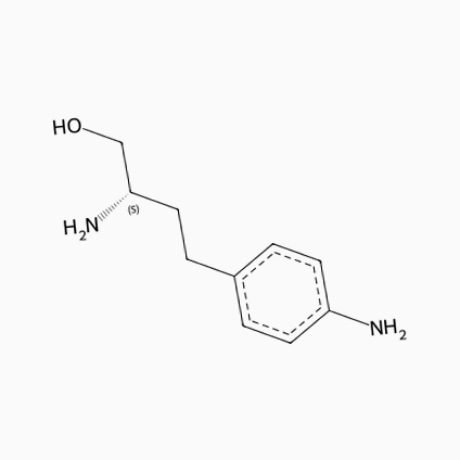 Nc1ccc(CC[C@H](N)CO)cc1